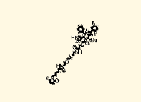 CC(C)(C)[C@H](c1cc(-c2cc(F)ccc2F)cn1Cc1ccccc1)N(CC1CCNC1)C(=O)CSCCC(=O)NCCOCCOCCNC(=O)CCCCCN1C(=O)C=CC1=O